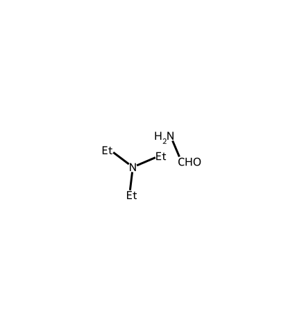 CCN(CC)CC.NC=O